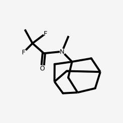 CN(C(=O)C(C)(F)F)C12CC3CC(CC(C3)C1)C2